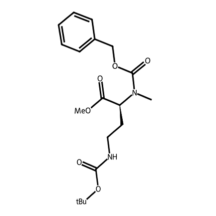 COC(=O)[C@H](CCNC(=O)OC(C)(C)C)N(C)C(=O)OCc1ccccc1